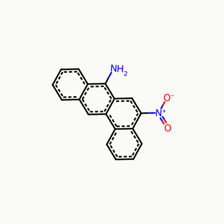 Nc1c2ccccc2cc2c1cc([N+](=O)[O-])c1ccccc12